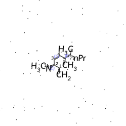 C=CC(/C=C\C(C)=C(/C)CCC)=N/C